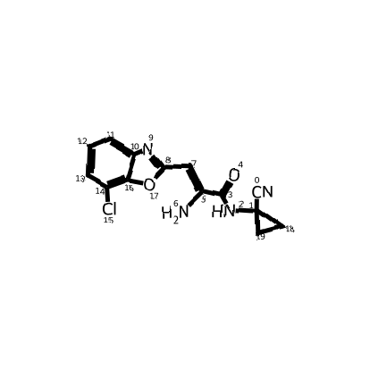 N#CC1(NC(=O)C(N)=Cc2nc3cccc(Cl)c3o2)CC1